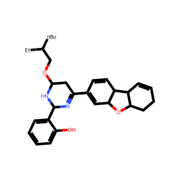 CCCCC(CC)COC1CC(C2=CC3OC4CCC=CC4C3C=C2)=NC(c2ccccc2O)N1